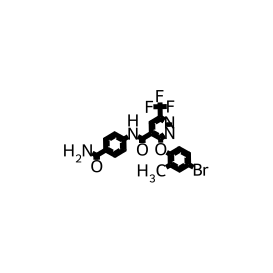 Cc1cc(Br)ccc1Oc1nnc(C(F)(F)F)cc1C(=O)Nc1ccc(C(N)=O)cc1